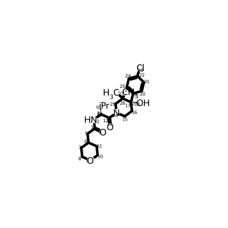 CC(C)[C@@H](NC(=O)CC1CCOCC1)C(=O)N1CC[C@](O)(c2ccc(Cl)cc2)C(C)(C)C1